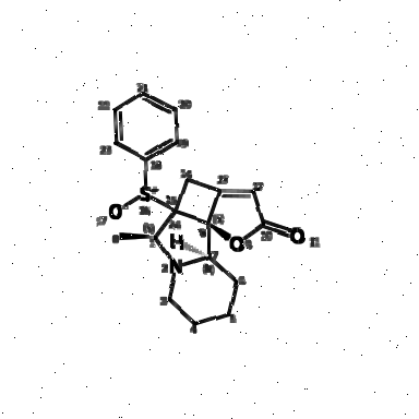 C[C@@H]1N2CCCC[C@@H]2[C@@]23OC(=O)C=C2CC13[S+]([O-])c1ccccc1